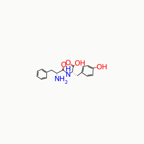 N[C@H](Cc1ccccc1)C(=O)N[C@@H](Cc1ccc(O)cc1)C(=O)O